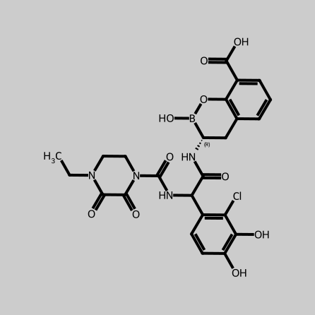 CCN1CCN(C(=O)NC(C(=O)N[C@H]2Cc3cccc(C(=O)O)c3OB2O)c2ccc(O)c(O)c2Cl)C(=O)C1=O